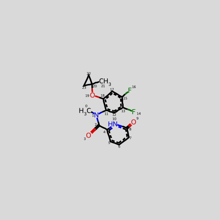 CN(C(=O)c1cccc(=O)[nH]1)c1cc(F)c(F)cc1OC1(C)CC1